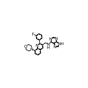 Fc1cccc(-c2nc3c(N4CCOCC4)cccc3cc2CNc2ncnc3[nH]cnc23)c1